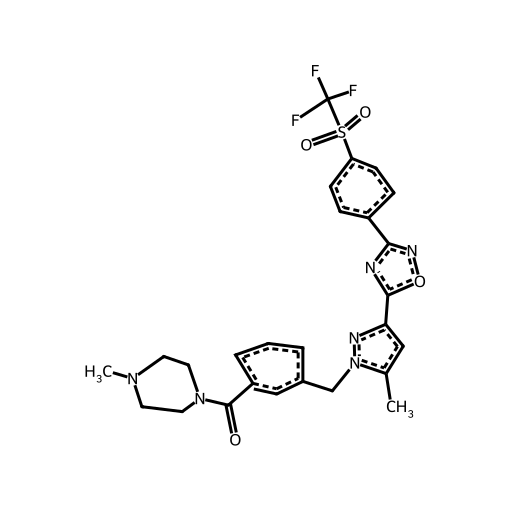 Cc1cc(-c2nc(-c3ccc(S(=O)(=O)C(F)(F)F)cc3)no2)nn1Cc1cccc(C(=O)N2CCN(C)CC2)c1